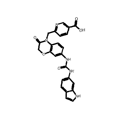 O=C(Nc1ccc2c(c1)OCC(=O)N2Cc1ccc(C(=O)O)cn1)Nc1ccc2cc[nH]c2c1